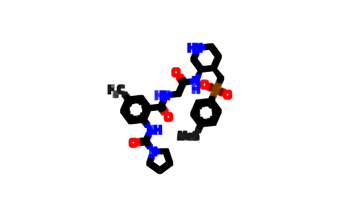 CSc1ccc(S(=O)(=O)C[C@@H]2CCNC[C@@H]2NC(=O)CNC(=O)c2cc(C(F)(F)F)ccc2NC(=O)N2CCCC2)cc1